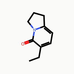 CCc1ccc2n(c1=O)CCC2